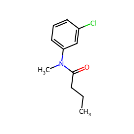 CCCC(=O)N(C)c1cc[c]c(Cl)c1